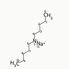 CCCCC[N-]CCCCC.[Na+]